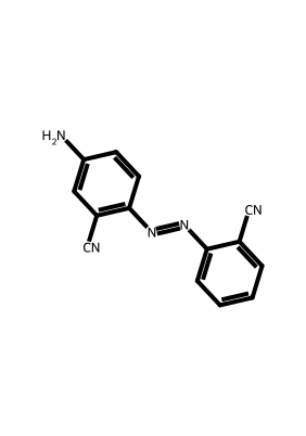 N#Cc1ccccc1/N=N/c1ccc(N)cc1C#N